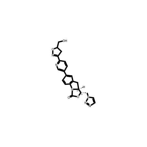 O=C1O[C@@H](Cn2ccnn2)[C@@H]2Cc3cc(-c4ccc(C5=NOC(CO)C5)nc4)ccc3N12